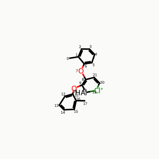 Cc1ccccc1OC1=[C](Oc2ccccc2C)[AlH][Cl+]C=C1